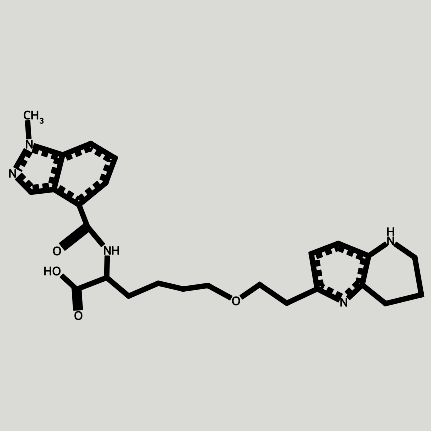 Cn1ncc2c(C(=O)NC(CCCCOCCc3ccc4c(n3)CCCN4)C(=O)O)cccc21